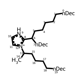 CCCCCCCCCCCCCCCC(CCCCCCCCCC)c1[nH]cc[n+]1C(C)CCCCCCCCCCCCCC